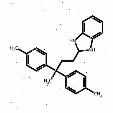 Cc1ccc(C(C)(CCC2Nc3ccccc3N2)c2ccc(C)cc2)cc1